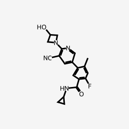 Cc1cc(F)c(C(=O)NC2CC2)cc1-c1cnc(N2CC(O)C2)c(C#N)c1